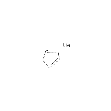 C1=CCC=C1.[LiH]